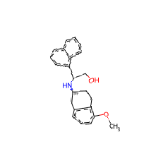 COc1cccc2c1CC[C@H](NC(CO)c1cccc3ccccc13)C2